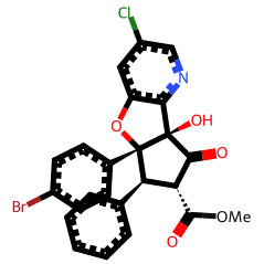 COC(=O)[C@H]1C(=O)[C@@]2(O)c3ncc(Cl)cc3O[C@@]2(c2ccc(Br)cc2)[C@@H]1c1ccccc1